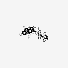 CC1CC(=O)N(CCNC(=O)OCC(=O)[C@@]2(O)[C@H](C)C[C@H]3[C@@H]4C[C@H](F)C5=CC(=O)C=C[C@]5(C)[C@@]4(F)[C@@H](O)C[C@@]32C)C1=O